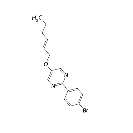 CCC/C=C/COc1cnc(-c2ccc(Br)cc2)nc1